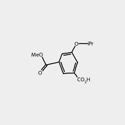 COC(=O)c1cc(OC(C)C)cc(C(=O)O)c1